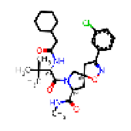 CNC(=O)[C@@H]1C[C@]2(CC(c3cccc(Cl)c3)=NO2)CN1C(=O)[C@@H](NC(=O)CC1CCCCC1)C(C)(C)C